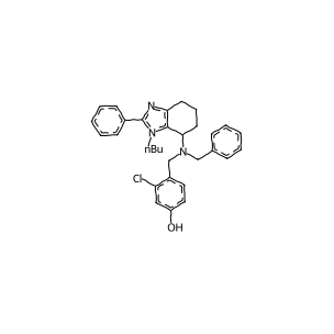 CCCCn1c(-c2ccccc2)nc2c1C(N(Cc1ccccc1)Cc1ccc(O)cc1Cl)CCC2